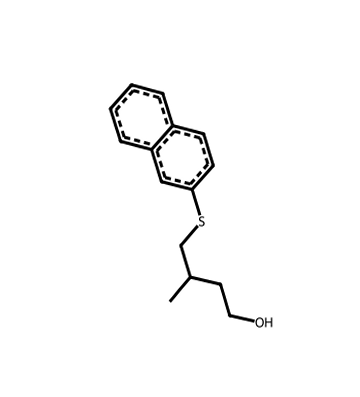 CC(CCO)CSc1ccc2ccccc2c1